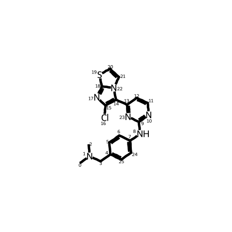 CN(C)Cc1ccc(Nc2nccc(-c3c(Cl)nc4sccn34)n2)cc1